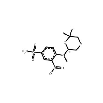 CN(c1ccc(S(N)(=O)=O)cc1[N+](=O)[O-])[C@@H]1COCC(C)(C)O1